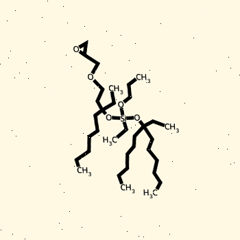 CCCCCCC(CC)(CCCCCC)O[Si](CC)(OCCC)OC(CC)(CCCCCC)CCOCC1CO1